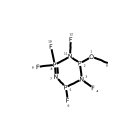 COP1N(F)P(F)N=P(F)(F)N1F